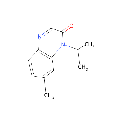 Cc1ccc2ncc(=O)n(C(C)C)c2c1